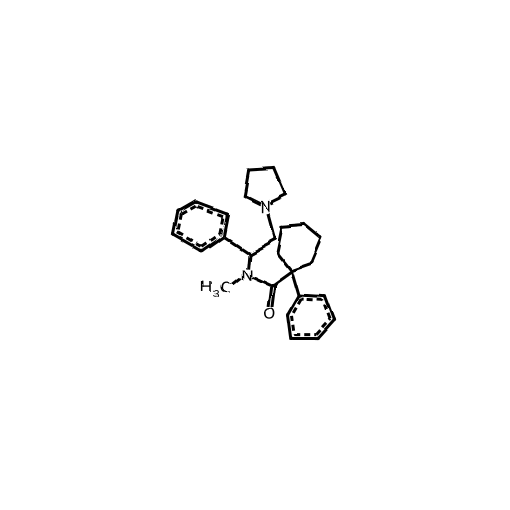 CN(C(=O)C1(c2ccccc2)CCCCC1)C(CN1CCCC1)c1ccccc1